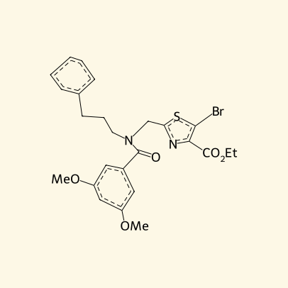 CCOC(=O)c1nc(CN(CCCc2ccccc2)C(=O)c2cc(OC)cc(OC)c2)sc1Br